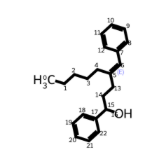 CCCCC/C(=C\c1ccccc1)CCC(O)c1ccccc1